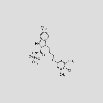 Cc1ccc2c(CCCOc3cc(C)c(Cl)c(C)c3)c(C(=O)NS(C)(=O)=O)[nH]c2c1